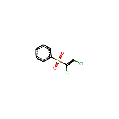 O=S(=O)(C(Cl)=CCl)c1ccccc1